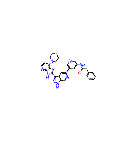 O=C(Cc1ccccc1)Nc1cncc(-c2cc3c(-c4nc5c(N6CCCCC6)ccnc5[nH]4)n[nH]c3cn2)c1